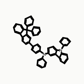 c1ccc(N(c2ccc(-c3ccc4c(c3)C(c3ccccc3)(c3ccccc3)c3ccccc3-4)cc2)c2ccc3c(c2)c2ccccc2n3-c2ccccc2)cc1